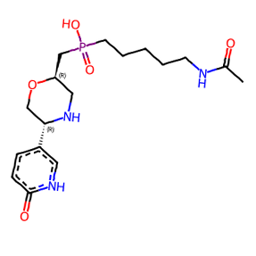 CC(=O)NCCCCCP(=O)(O)C[C@H]1CN[C@H](c2ccc(=O)[nH]c2)CO1